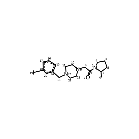 CC1CCCN1C(=O)CN1CCN(Cc2cccc(I)c2)CC1